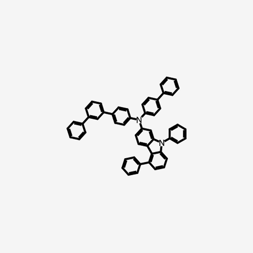 c1ccc(-c2ccc(N(c3ccc(-c4cccc(-c5ccccc5)c4)cc3)c3ccc4c5c(-c6ccccc6)cccc5n(-c5ccccc5)c4c3)cc2)cc1